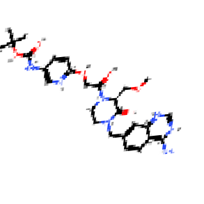 COC[C@H]1C(=O)N(Cc2ccc3c(N)ncnc3c2)CCN1C(=O)COc1ccc(NC(=O)OC(C)(C)C)cn1